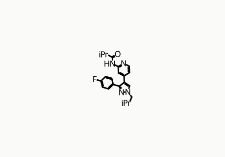 CC(C)Cn1cc(-c2ccnc(NC(=O)C(C)C)c2)c(-c2ccc(F)cc2)n1